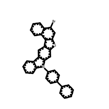 Brc1cc2sc3cc4c(cc3c2c2ccccc12)c1ccccc1n4-c1ccc(-c2ccccc2)cc1